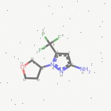 Nc1cc(C(F)(F)F)n(C2CCOC2)n1